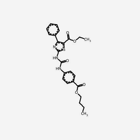 CCCCOC(=O)c1ccc(NC(=O)Nc2nc(-c3ccccc3)c(C(=O)OCC)s2)cc1